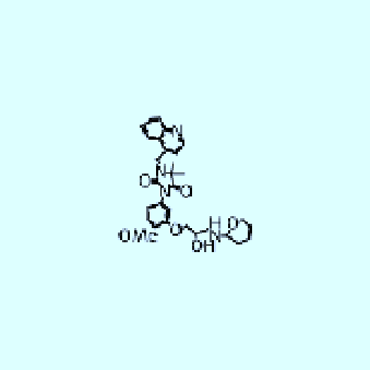 COc1ccc(N2C(=O)N(Cc3ccnc4ccccc34)C(C)(C)C2=O)cc1OCC(O)CNC1CCCCO1